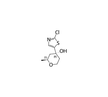 C[C@H]1C[C@@](O)(c2cnc(Cl)s2)CCO1